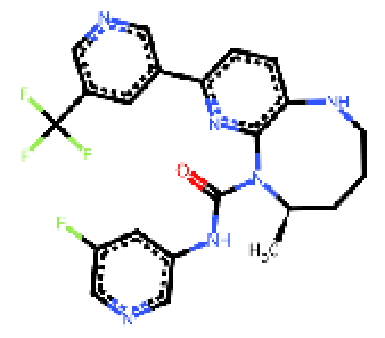 C[C@@H]1CCCNc2ccc(-c3cncc(C(F)(F)F)c3)nc2N1C(=O)Nc1cncc(F)c1